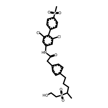 CC(CCCc1ccc(CC(=O)Nc2cc(Cl)c(-c3ccc(S(C)(=O)=O)cc3)c(Cl)c2)cc1)S(=O)(=O)CCO